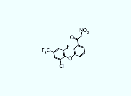 O=C(C[N+](=O)[O-])c1cccc(Oc2c(F)cc(C(F)(F)F)cc2Cl)c1